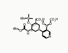 C[C@H]1CN(c2ccncc2N(OC(=O)O)OC(=O)O)C[C@@H](NC(=O)OC(C)(C)C)[C@@H]1O[Si](C)(C)C(C)(C)C